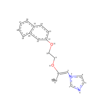 CC(C)(C)C(=Cn1ccnc1)OCCOc1ccc2ccccc2c1